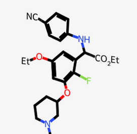 CCOC(=O)C(Nc1ccc(C#N)cc1)c1cc(OCC)cc(OC2CCCN(C)C2)c1F